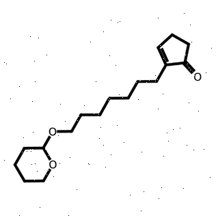 O=C1CCC=C1CCCCCCCOC1CCCCO1